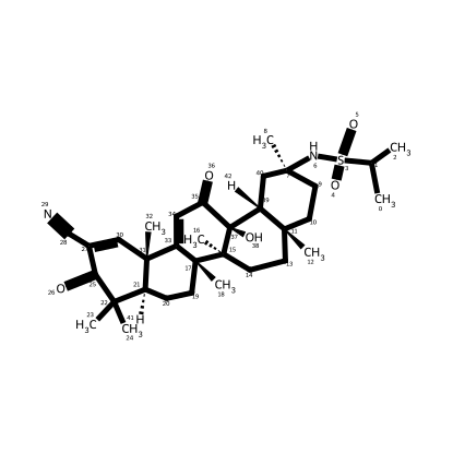 CC(C)S(=O)(=O)N[C@@]1(C)CC[C@]2(C)CC[C@@]3(C)[C@]4(C)CC[C@H]5C(C)(C)C(=O)C(C#N)=C[C@]5(C)C4=CC(=O)[C@]3(O)[C@@H]2C1